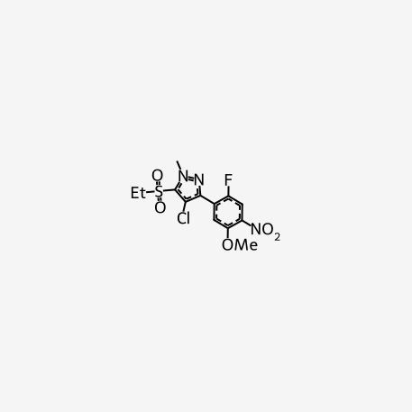 CCS(=O)(=O)c1c(Cl)c(-c2cc(OC)c([N+](=O)[O-])cc2F)nn1C